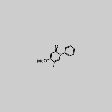 COc1cc(=O)n(-c2ccccc2)cc1C